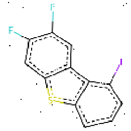 Fc1cc2sc3cccc(I)c3c2cc1F